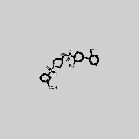 CC(C)c1ccccc1-c1ccc(S(=O)(=O)NC2CCN(S(=O)(=O)c3cccc(C(=O)O)c3)CC2)c(C(F)(F)F)c1